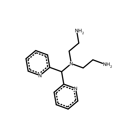 NCCN(CCN)C(c1ccccn1)c1ccccn1